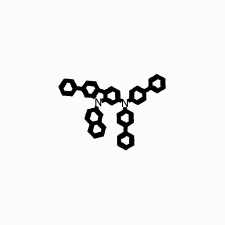 c1ccc(-c2ccc(N(c3ccc(-c4ccccc4)cc3)c3ccc4c5ccc(-c6ccccc6)cc5n(-c5ccc6ccccc6c5)c4c3)cc2)cc1